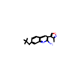 Cc1nocc1-c1cc2ccc(CC(C)(C)C)cc2nc1N